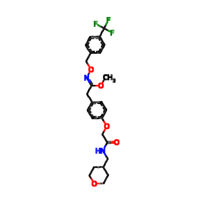 COC(Cc1ccc(OCC(=O)NCC2CCOCC2)cc1)=NOCc1ccc(C(F)(F)F)cc1